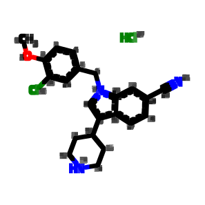 COc1ccc(Cn2cc(C3CCNCC3)c3ccc(C#N)cc32)cc1Cl.Cl